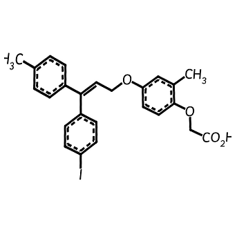 Cc1ccc(/C(=C/COc2ccc(OCC(=O)O)c(C)c2)c2ccc(I)cc2)cc1